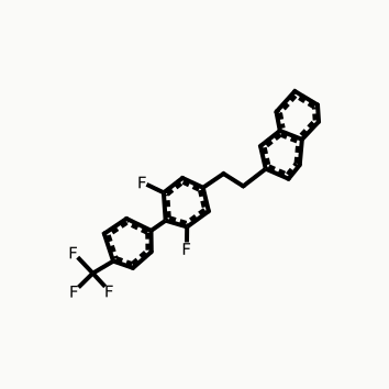 Fc1cc(CCc2ccc3ccccc3c2)cc(F)c1-c1ccc(C(F)(F)F)cc1